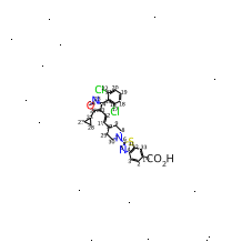 O=C(O)c1ccc2nc(N3CCC(C=Cc4c(-c5c(Cl)cccc5Cl)noc4C4CC4)CC3)sc2c1